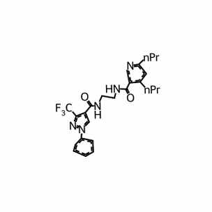 CCCc1cc(CCC)c(C(=O)NCCNC(=O)c2cn(-c3ccccc3)nc2C(F)(F)F)cn1